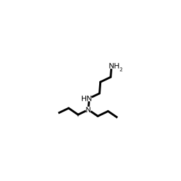 CC[CH]N(CCC)NCCCN